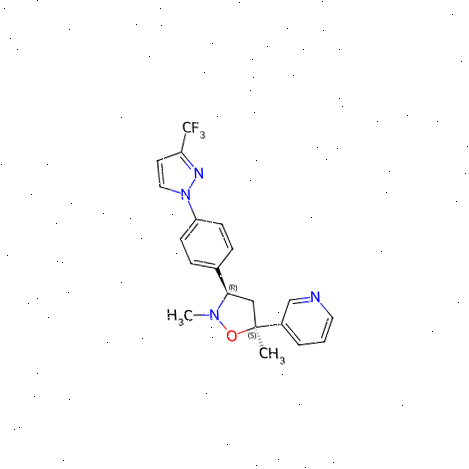 CN1O[C@](C)(c2cccnc2)C[C@@H]1c1ccc(-n2ccc(C(F)(F)F)n2)cc1